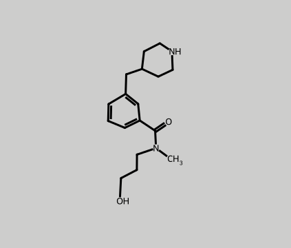 CN(CCCO)C(=O)c1cccc(CC2CCNCC2)c1